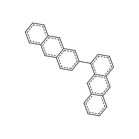 [c]1c2ccccc2cc2cccc(-c3ccc4cc5ccccc5cc4c3)c12